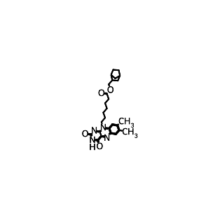 Cc1cc2nc3c(=O)[nH]c(=O)nc-3n(CCCCCCC(=O)OCC3CC4CCC3C4)c2cc1C